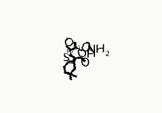 CC1(C)CCc2sc([C@H]3COC[C@H]3CON)c(C(=O)O)c2C1